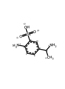 CC(N)c1ccc(N)c(S(=O)(=O)O)c1